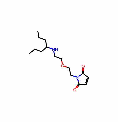 CCCC(CCC)NCCOCCN1C(=O)C=CC1=O